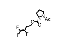 CC(=O)N1CCC[C@H]1C(=O)OCCC(F)=C(F)F